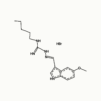 Br.CCCCCNC(=N)NN=Cc1c[nH]c2ccc(OC)cc12